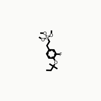 CCC(C)(C)Oc1ccc(CC[Si](OC)(OC)OC)cc1F